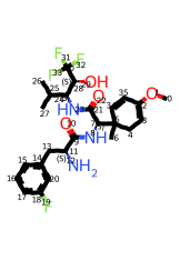 COC1=CCC(C)([C@H](NC(=O)[C@@H](N)Cc2cccc(F)c2)C(=O)N[C@@H](C(C)C)[C@H](O)C(F)(F)F)C=C1